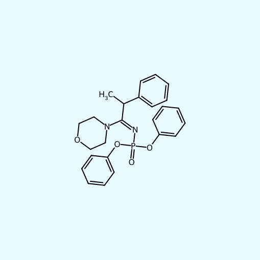 CC(/C(=N/P(=O)(Oc1ccccc1)Oc1ccccc1)N1CCOCC1)c1ccccc1